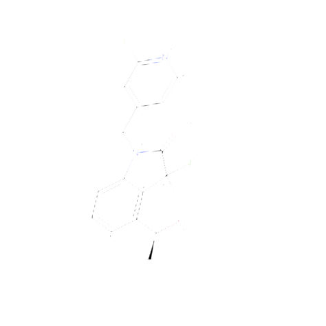 C[C@H](O)c1cccc2c1C(F)(F)C(=O)N2Cc1ccnc(F)c1